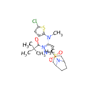 CN(c1ccc(Cl)s1)c1cc(C2CC3CCC(C2)N3S(C)(=O)=O)nn1C(=O)C(C)(C)C